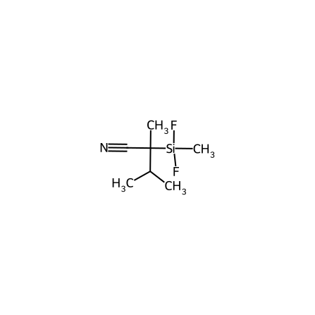 CC(C)C(C)(C#N)[Si](C)(F)F